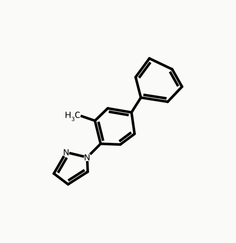 Cc1cc(-c2ccccc2)ccc1-n1cccn1